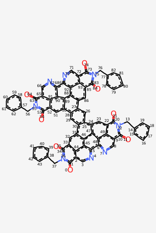 O=c1c2cnc3c4ncc5c(=O)n(Cc6ccccc6)c(=O)c6cc7c8cc9c(cc8c8cc(c(=O)n1Cc1ccccc1)c2c3c8c7c4c56)c1cc2c(=O)n(Cc3ccccc3)c(=O)c3cnc4c5ncc6c(=O)n(Cc7ccccc7)c(=O)c7cc9c(c1c4c32)c5c67